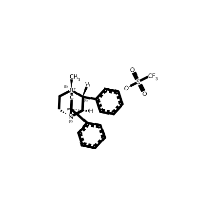 C[N@@+]12CC[N@@](C[C@H]1c1ccccc1)[C@H](c1ccccc1)C2.O=S(=O)([O-])C(F)(F)F